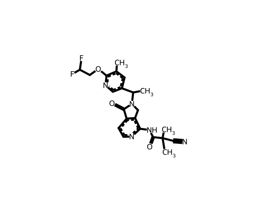 Cc1cc(C(C)N2Cc3c(ccnc3NC(=O)C(C)(C)C#N)C2=O)cnc1OCC(F)F